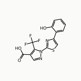 O=C(O)c1cnn(-c2nc(-c3ccccc3O)cs2)c1C(F)(F)F